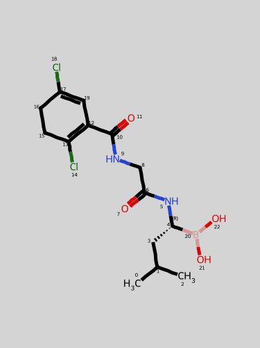 CC(C)C[C@H](NC(=O)CNC(=O)C1=C(Cl)CCC(Cl)=C1)B(O)O